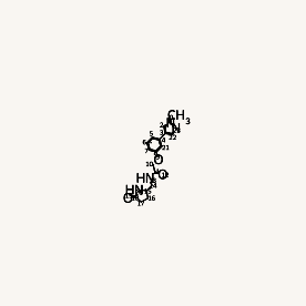 Cn1cc(-c2c[c]cc(OCC(=O)NCC3CCC(=O)N3)c2)cn1